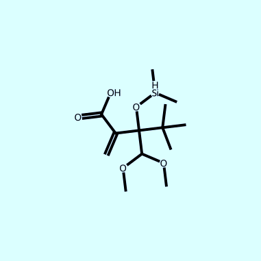 C=C(C(=O)O)C(O[SiH](C)C)(C(OC)OC)C(C)(C)C